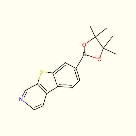 CC1(C)OB(c2ccc3c(c2)sc2cnccc23)OC1(C)C